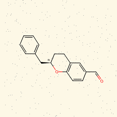 O=Cc1ccc2c(c1)CC[C@H](Cc1ccccc1)O2